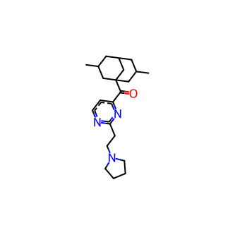 CC1CC2CC(C)CC(C(=O)c3ccnc(CCN4CCCC4)n3)(C1)C2